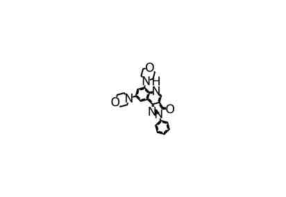 O=c1c2c[nH]c3c(N4CCOCC4)cc(N4CCOCC4)cc3c-2nn1-c1ccccc1